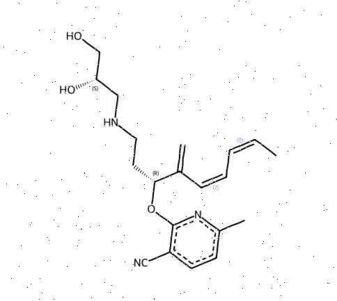 C=C(/C=C\C=C/C)[C@@H](CCNC[C@H](O)CO)Oc1nc(C)ccc1C#N